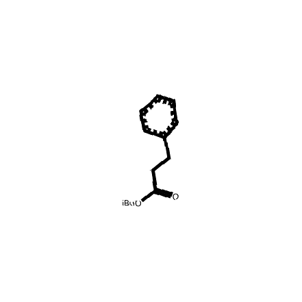 CC(C)COC(=O)[CH]Cc1ccccc1